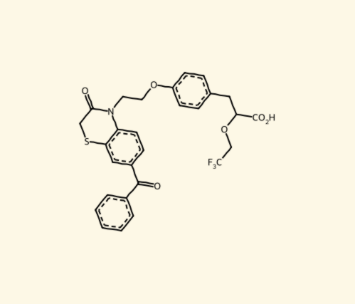 O=C(c1ccccc1)c1ccc2c(c1)SCC(=O)N2CCOc1ccc(CC(OCC(F)(F)F)C(=O)O)cc1